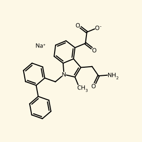 Cc1c(CC(N)=O)c2c(C(=O)C(=O)[O-])cccc2n1Cc1ccccc1-c1ccccc1.[Na+]